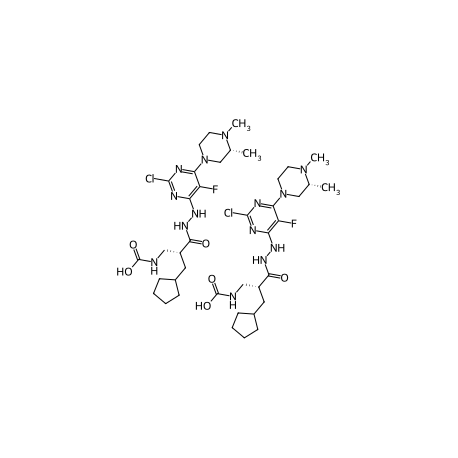 C[C@@H]1CN(c2nc(Cl)nc(NNC(=O)[C@@H](CNC(=O)O)CC3CCCC3)c2F)CCN1C.C[C@@H]1CN(c2nc(Cl)nc(NNC(=O)[C@@H](CNC(=O)O)CC3CCCC3)c2F)CCN1C